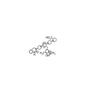 CBc1cc(C[C@@H](OC(=O)N2CCC(N3CCc4ccccc4NC3=O)CC2)C(=O)N2CCC(N3CCCC[C@@H]3C(=O)O)CC2)cc(C)c1O